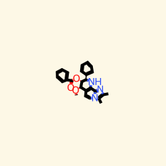 CO[C@@H]1c2ccn3c(C)c(C)nc3c2N[C@H](c2ccccc2)[C@H]1OC(=O)c1ccccc1